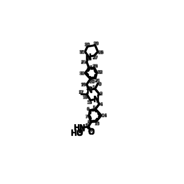 CC1CN(Cc2ccc(C(=O)NO)cc2)CC(C)N1Cc1cccc(CN2CCCCC2)c1